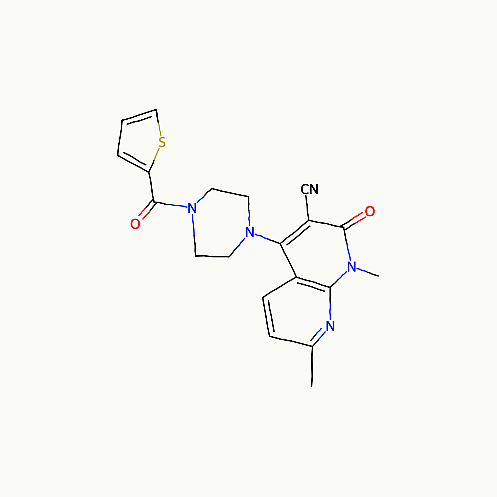 Cc1ccc2c(N3CCN(C(=O)c4cccs4)CC3)c(C#N)c(=O)n(C)c2n1